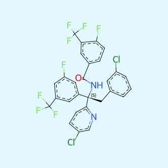 O=C(N[C@@](Cc1cccc(Cl)c1)(c1cc(F)cc(C(F)(F)F)c1)c1ccc(Cl)cn1)c1ccc(F)c(C(F)(F)F)c1